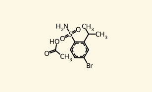 CC(=O)O.CC(C)c1cc(Br)ccc1S(N)(=O)=O